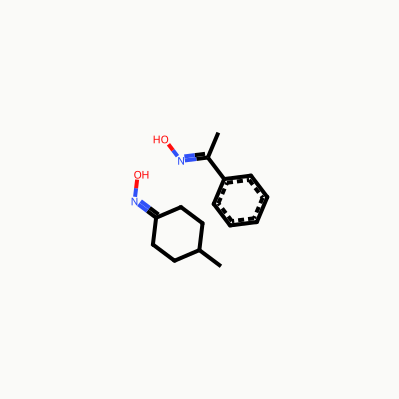 CC(=NO)c1ccccc1.CC1CCC(=NO)CC1